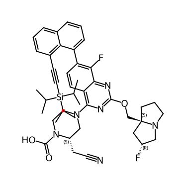 CC(C)[Si](C#Cc1cccc2cccc(-c3ccc4c(N5CCN(C(=O)O)[C@@H](CC#N)C5)nc(OC[C@@]56CCCN5C[C@H](F)C6)nc4c3F)c12)(C(C)C)C(C)C